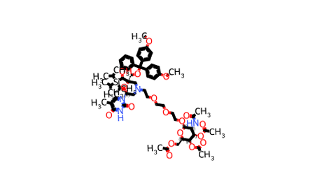 COc1ccc(C(OC[C@]2(C(O)[Si](C(C)C)(C(C)C)C(C)C)CN(CCOCCOCCO[C@@H]3O[C@H](COC(C)=O)[C@H](OC(C)=O)[C@H](OC(C)=O)[C@H]3NC(C)=O)C[C@H](n3cc(C)c(=O)[nH]c3=O)O2)(c2ccccc2)c2ccc(OC)cc2)cc1